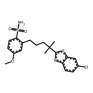 COc1ccc(S(N)(=O)=O)c(CCCC(C)(C)c2nc3ccc(Cl)cc3s2)c1